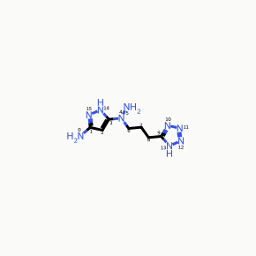 Nc1cc(N(N)CCCc2nnn[nH]2)[nH]n1